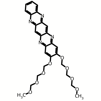 COCOCOCOc1cc2nc3cc4nc5ccccc5nc4cc3nc2cc1OCOCOCOC